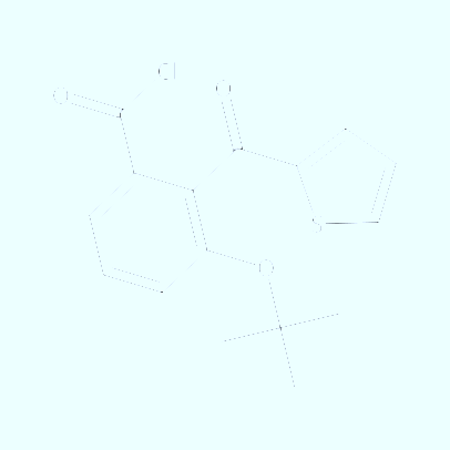 CC(C)(C)Oc1cccc(C(=O)Cl)c1C(=O)c1cccs1